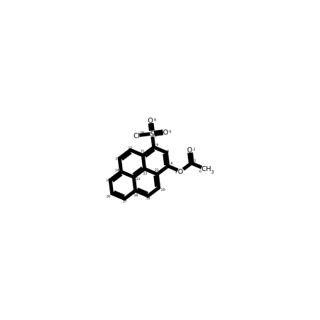 CC(=O)Oc1cc(S(=O)(=O)Cl)c2ccc3cccc4ccc1c2c43